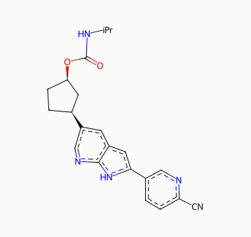 CC(C)NC(=O)O[C@@H]1CC[C@H](c2cnc3[nH]c(-c4ccc(C#N)nc4)cc3c2)C1